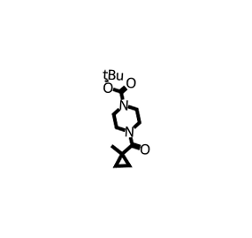 CC(C)(C)OC(=O)N1CCN(C(=O)C2(C)CC2)CC1